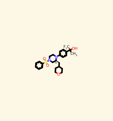 C[C@@](O)(c1ccc(N2CCN(S(=O)(=O)c3ccccc3)C[C@@H]2CC2CCOCC2)cc1)C(F)(F)F